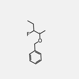 CCC(F)[C](C)OCc1ccccc1